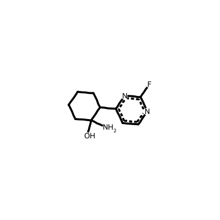 NC1(O)CCCCC1c1ccnc(F)n1